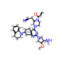 C=CC(=O)N1CCN(c2nc(N3CC(NC)C(OC)C3)nc3c2CCC(N2CCCc4ccccc42)C3)CC1CC#N